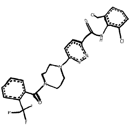 O=C(Nc1c(Cl)cccc1Cl)c1ccc(N2CCN(C(=O)c3ccccc3C(F)(F)F)CC2)nn1